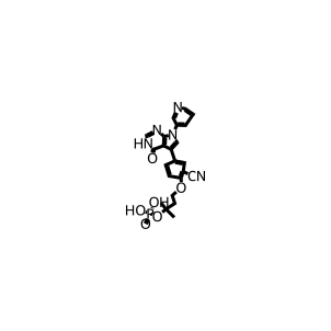 CC(C)(CCOc1ccc(-c2cn(-c3cccnc3)c3nc[nH]c(=O)c23)cc1C#N)OP(=O)(O)O